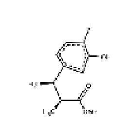 COC(=O)[C@@H](C)[C@@H](C)c1ccc(I)c(O)c1